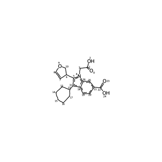 O=C(O)Cn1c(C2C=COC2)c(C2CCCCC2)c2ccc(C(=O)O)cc21